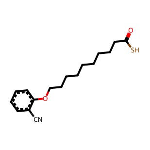 N#Cc1ccccc1OCCCCCCCCCC(=O)S